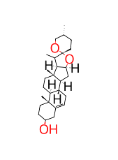 CC1[C@H]2[C@H](C[C@H]3[C@@H]4CC=C5C[C@@H](O)CC[C@]5(C)[C@H]4CC[C@@]32C)O[C@]12CC[C@@H](C)CO2